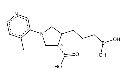 Cc1ccncc1N1CC(CCCB(O)O)[C@H](C(=O)O)C1